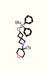 CC(C)(C)[Si](OC1CC2(C1)CN(C1(C#N)CCOCC1)C2)(c1ccccc1)c1ccccc1